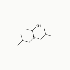 CC(C)CN(CC(C)C)C(C)S